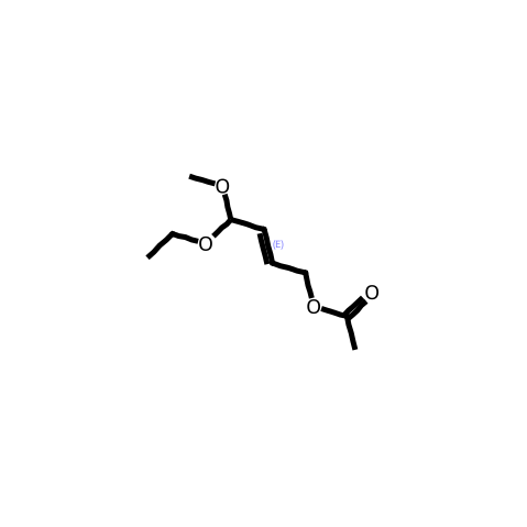 CCOC(/C=C/COC(C)=O)OC